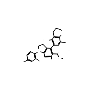 Cc1cc2c(c(-c3cc(F)c4c(c3C)CCCO4)c1[C@H](OC(C)(C)C)C(=O)O)CCN2c1ccc(Cl)cc1F